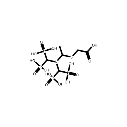 CC(SCC(=O)O)N(C(P(=O)(O)O)P(=O)(O)O)C(P(=O)(O)O)P(=O)(O)O